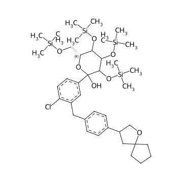 C[Si](C)(C)OC[C@H]1OC(O)(c2ccc(Cl)c(Cc3ccc(C4COC5(CCCC5)C4)cc3)c2)C(O[Si](C)(C)C)C(O[Si](C)(C)C)C1O[Si](C)(C)C